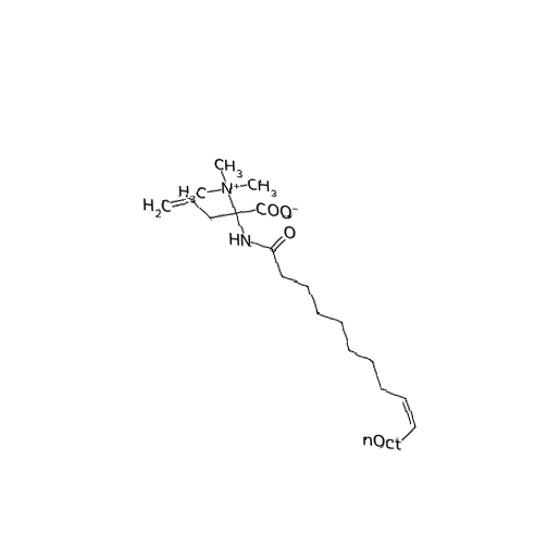 C=CCC(NC(=O)CCCCCCC/C=C\CCCCCCCC)(C(=O)[O-])[N+](C)(C)C